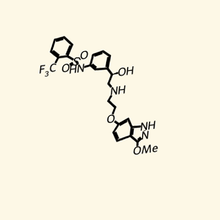 COc1n[nH]c2cc(OCCNC[C@H](O)c3cccc(NS(=O)(=O)c4ccccc4C(F)(F)F)c3)ccc12